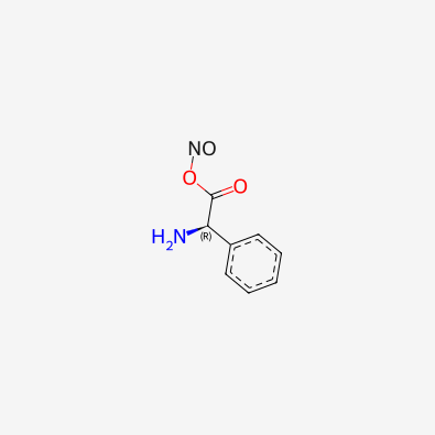 N[C@@H](C(=O)ON=O)c1ccccc1